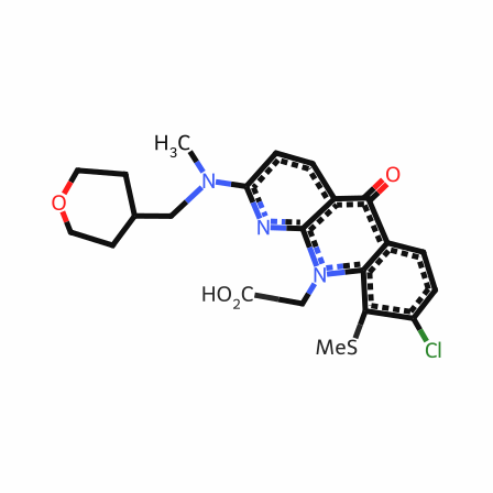 CSc1c(Cl)ccc2c(=O)c3ccc(N(C)CC4CCOCC4)nc3n(CC(=O)O)c12